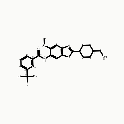 COc1cc2nc(C3CCC(CO)CC3)oc2cc1NC(=O)c1cccc(C(F)(F)F)n1